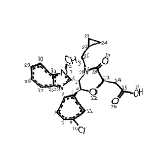 Cn1c([C@H]2[C@H](c3cccc(Cl)c3)O[C@H](CC(=O)O)C(=O)N2CC2CC2)nc2ccccc21